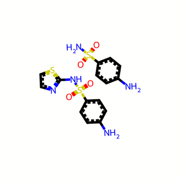 Nc1ccc(S(=O)(=O)Nc2nccs2)cc1.Nc1ccc(S(N)(=O)=O)cc1